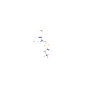 Cn1nc(CS(=O)(=O)C2=NOC(C)(C)C2F)c(OC(F)F)n1